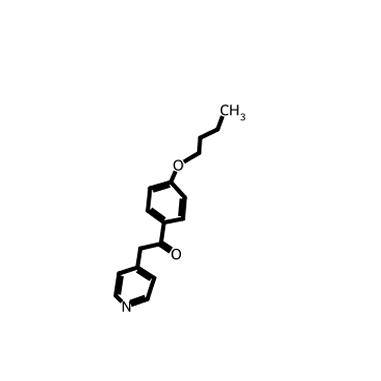 CCCCOc1ccc(C(=O)Cc2ccncc2)cc1